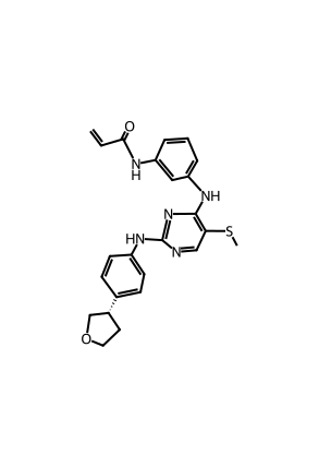 C=CC(=O)Nc1cccc(Nc2nc(Nc3ccc([C@@H]4CCOC4)cc3)ncc2SC)c1